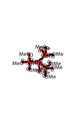 COC(=O)CCOCC(COCCC(=O)OC)(COCCC(=O)OC)NC(=O)CCOCC(COCCC(=O)NC(COCCC(=O)OC)(COCCC(=O)OC)COCCC(=O)OC)(COCCC(=O)NC(COCCC(=O)OC)(COCCC(=O)OC)COCCC(=O)OC)NC(=O)CCCNC(=O)OC